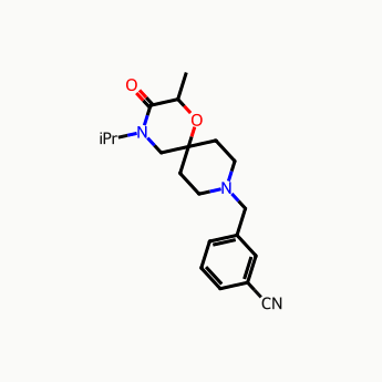 CC1OC2(CCN(Cc3cccc(C#N)c3)CC2)CN(C(C)C)C1=O